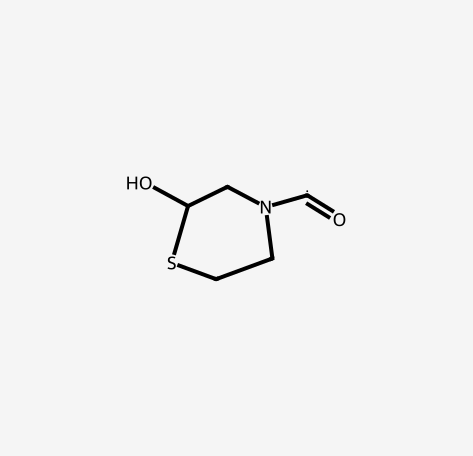 O=[C]N1CCSC(O)C1